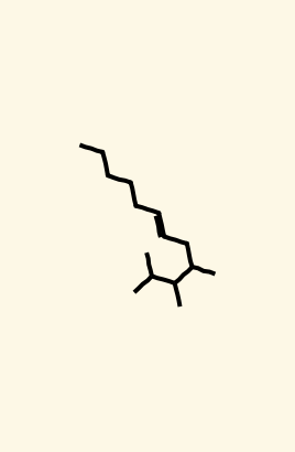 CCCCCC=CCC(C)C(C)C(C)C